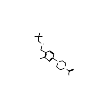 CC(=O)N1CCN(c2ccc(CNCC(F)(F)F)c(F)c2)CC1